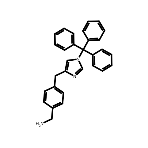 NCc1ccc(Cc2cn(C(c3ccccc3)(c3ccccc3)c3ccccc3)cn2)cc1